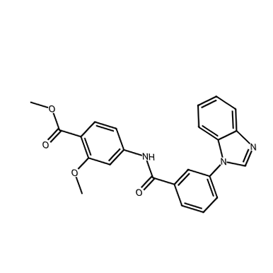 COC(=O)c1ccc(NC(=O)c2cccc(-n3cnc4ccccc43)c2)cc1OC